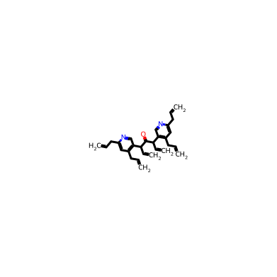 C=CCc1cc(CC=C)c(C(C=C)C(=O)C(C=C)c2cnc(CC=C)cc2CC=C)cn1